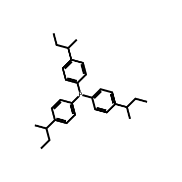 CCC(C)c1ccc(P(c2ccc(C(C)CC)cc2)c2ccc(C(C)CC)cc2)cc1